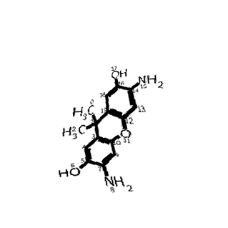 CC1(C)c2cc(O)c(N)cc2Oc2cc(N)c(O)cc21